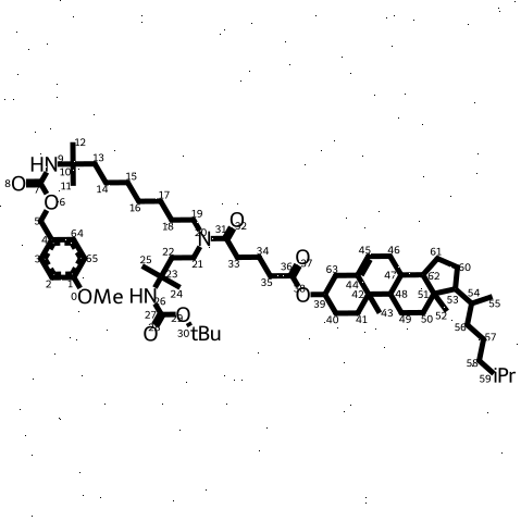 COc1ccc(COC(=O)NC(C)(C)CCCCCCCN(CCC(C)(C)NC(=O)OC(C)(C)C)C(=O)CCCC(=O)OC2CCC3(C)C(=CCC4C3CCC3(C)C(C(C)CCCC(C)C)CCC43)C2)cc1